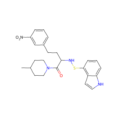 CC1CCN(C(=O)C(CCc2cccc([N+](=O)[O-])c2)NSc2cccc3[nH]ccc23)CC1